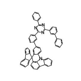 c1ccc(-c2cccc(-c3nc(-c4ccccc4)nc(-c4cccc(-c5ccc6c(c5)C5(c7ccccc7-c7ccccc75)c5cccc7c8ccccc8n-6c57)c4)n3)c2)cc1